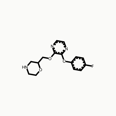 Fc1ccc(Oc2nccnc2OCC2CNCCO2)cc1